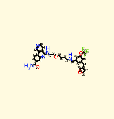 NC(=O)c1ccc2c(c1)nc(NCCOCCCCNCc1cc(Cc3ccoc3)cc(OC(F)(F)F)c1)c1ccncc12